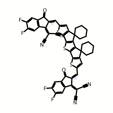 N#CC(C#N)=C1/C(=C/c2cc3c(s2)-c2sc4c(c2C32CCCCC2)C2(CCCCC2)c2cc(/C=C3/C(=O)c5cc(F)c(F)cc5C3=C(C#N)C#N)sc2-4)C(=O)c2cc(F)c(F)cc21